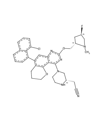 CN1C[C@H](F)C[C@H]1COc1nc(N2CCN[C@@H](CC#N)C2)c2c3c(c(-c4cccc5cccc(Cl)c45)cc2n1)CCCO3